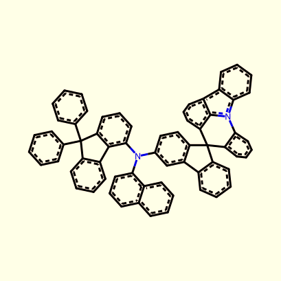 c1ccc(C2(c3ccccc3)c3ccccc3-c3c(N(c4ccc5c(c4)-c4ccccc4C54c5ccccc5-n5c6ccccc6c6cccc4c65)c4cccc5ccccc45)cccc32)cc1